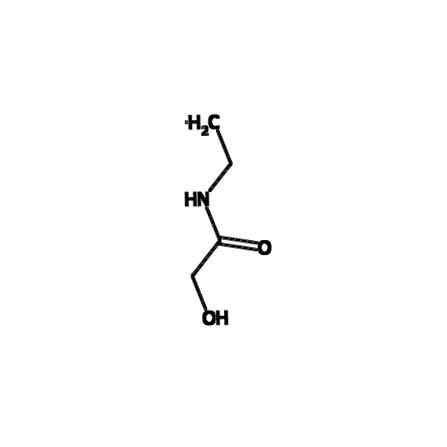 [CH2]CNC(=O)CO